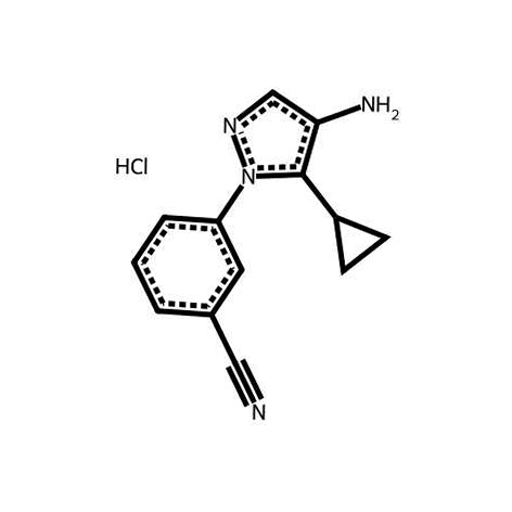 Cl.N#Cc1cccc(-n2ncc(N)c2C2CC2)c1